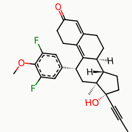 CC#C[C@]1(O)CC[C@H]2[C@@H]3CCC4=CC(=O)CCC4=C3[C@@H](c3cc(F)c(OC)c(F)c3)C[C@@]21C